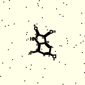 O=C1Nc2c(F)cc(Cl)cc2C1=O